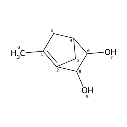 CC1=C2CC(C1)C(O)C2O